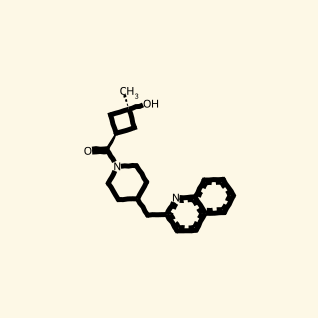 C[C@]1(O)C[C@@H](C(=O)N2CCC(Cc3ccc4ccccc4n3)CC2)C1